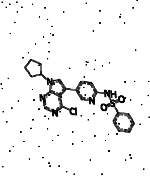 O=S(=O)(Nc1ccc(-c2cn(C3CCCC3)c3ncnc(Cl)c23)cn1)c1ccccc1